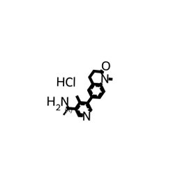 Cc1c(-c2ccc3c(c2)CCC(=O)N3C)cncc1[C@@H](C)N.Cl